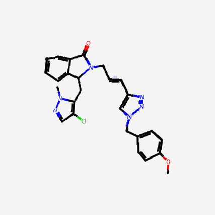 COc1ccc(Cn2cc(/C=C/CN3C(=O)c4ccccc4C3Cc3c(Cl)cnn3C)nn2)cc1